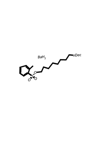 CCCCCCCCCCCCCCCCCCOS(=O)(=O)c1ccccc1C.[BaH2]